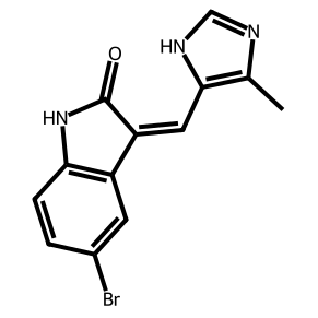 Cc1nc[nH]c1C=C1C(=O)Nc2ccc(Br)cc21